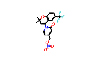 CC1(C)C=C(n2ccc(CO[N+](=O)[O-])cc2=O)c2cc(C(F)(F)F)ccc2O1